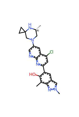 Cc1c(O)c(-c2cc(Cl)c3cc(N4C[C@@H](C)NC5(CC5)C4)cnc3n2)cc2cn(C)nc12